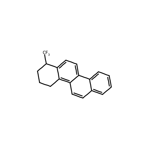 FC(F)(F)C1CCCc2c1ccc1c2ccc2ccccc21